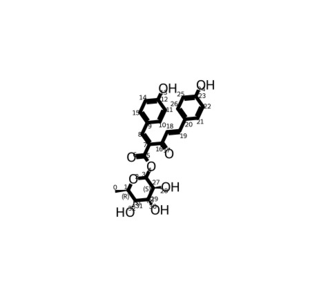 C[C@H]1OC(OC(=O)C(=Cc2ccc(O)cc2)C(=O)C=Cc2ccc(O)cc2)[C@@H](O)[C@@H](O)[C@@H]1O